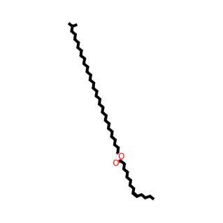 CCCC/C=C\CCCCCCCC(=O)OCCCCCCCCCCCCCCCCCCCCCCCCCCCCCCCC(C)C